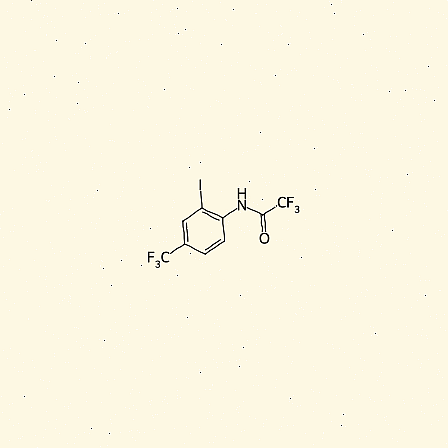 O=C(Nc1ccc(C(F)(F)F)cc1I)C(F)(F)F